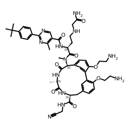 Cc1nc(-c2ccc(C(C)(C)C)cc2)ncc1C(=O)N[C@@H](CCNCC(N)=O)C(=O)N(C)[C@@H]1C(=O)N[C@@H](C)C(=O)N[C@H](C(=O)NCC#N)Cc2ccc(OCCN)c(c2)-c2cc1ccc2OCCN